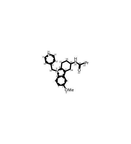 COc1ccc2c(c1)c1c(n2Cc2ccncc2)CCC(NC(=O)C(C)C)C1